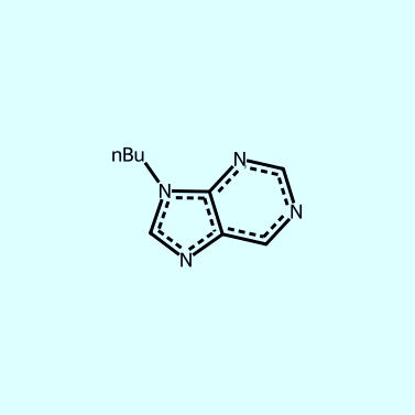 CCCCn1cnc2cncnc21